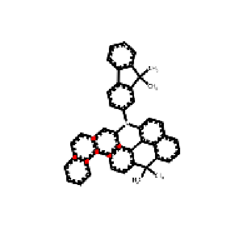 CC1(C)c2ccccc2-c2ccc(N(c3ccc(-c4ccccc4)cc3)c3ccc4cccc5c4c3-c3cc(-c4ccccc4)ccc3C5(C)C)cc21